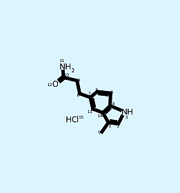 Cc1c[nH]c2ccc(CCC(N)=O)cc12.Cl